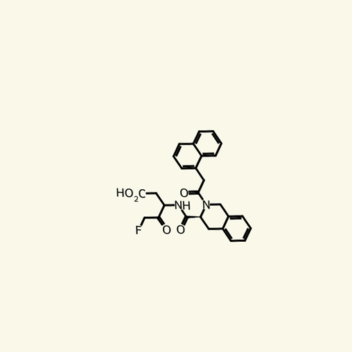 O=C(O)CC(NC(=O)[C@@H]1Cc2ccccc2CN1C(=O)Cc1cccc2ccccc12)C(=O)CF